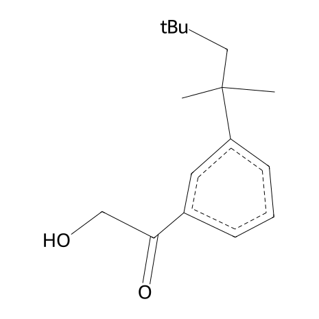 CC(C)(C)CC(C)(C)c1cccc(C(=O)CO)c1